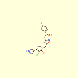 O=c1c(Cl)c(-c2cn[nH]c2)ncn1Cc1nc(C[C@H](O)c2ccc(Cl)cc2)no1